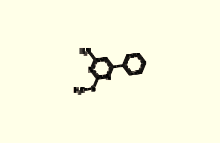 CSc1nc(N)cc(-c2ccccc2)n1